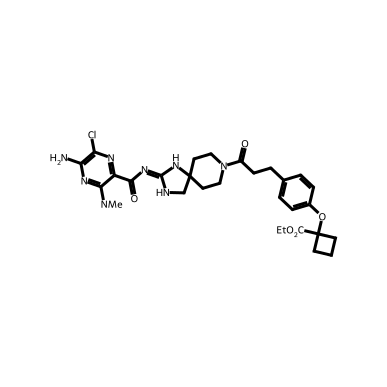 CCOC(=O)C1(Oc2ccc(CCC(=O)N3CCC4(CC3)CN/C(=N\C(=O)c3nc(Cl)c(N)nc3NC)N4)cc2)CCC1